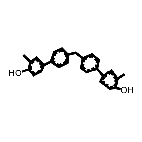 Cc1cc(-c2ccc(Cc3ccc(-c4ccc(O)c(C)c4)cc3)cc2)ccc1O